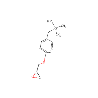 C[Si](C)(C)Cc1ccc(OCC2CO2)cc1